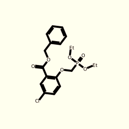 CCOP(=O)(COc1ccc(Cl)cc1C(=O)OCc1ccccc1)OCC